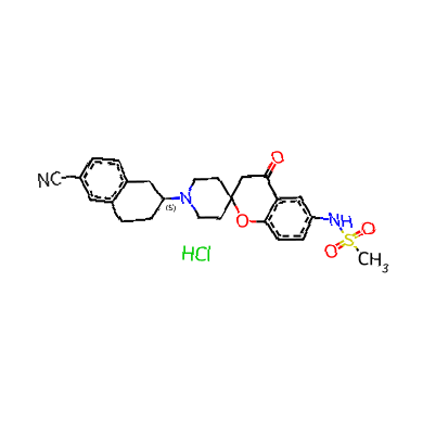 CS(=O)(=O)Nc1ccc2c(c1)C(=O)CC1(CCN([C@H]3CCc4cc(C#N)ccc4C3)CC1)O2.Cl